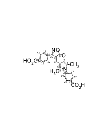 Cc1cc(C=C2C(=O)ON=C2c2ccc(C(=O)O)cc2)c(C)n1-c1ccc(C(=O)O)cc1